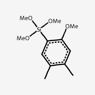 COc1cc(C)c(C)cc1[Si](OC)(OC)OC